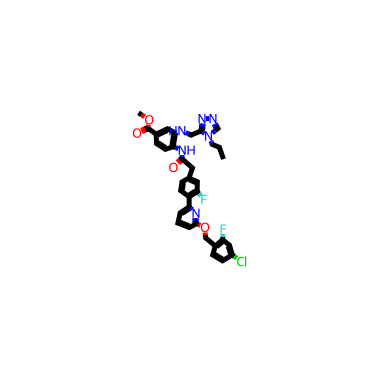 CCCn1cnnc1CNc1cc(C(=O)OC)ccc1NC(=O)Cc1ccc(-c2cccc(OCc3ccc(Cl)cc3F)n2)c(F)c1